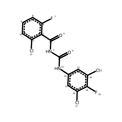 O=C(NC(=O)c1c(F)cccc1Cl)Nc1cc(Cl)c(F)c(Cl)c1